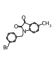 Cc1ccc2c(c1)C(=O)C(=O)N2Cc1cccc(Br)c1